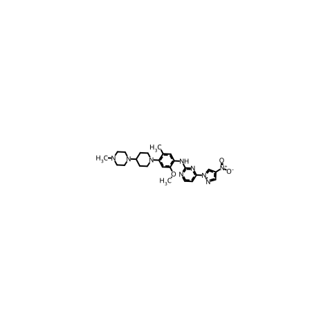 COc1cc(N2CCC(N3CCN(C)CC3)CC2)c(C)cc1Nc1nccc(-n2cc([N+](=O)[O-])cn2)n1